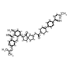 CN/C=N\C(=N)c1ccc(C2=CCN(C(=O)CN3CC[C@]4(CCN(c5ccc(N)c(C(=N)c6cnc(OC(C)C)cc6F)c5)C4=O)C3)CC2)cc1